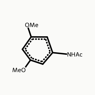 [CH2]C(=O)Nc1cc(OC)cc(OC)c1